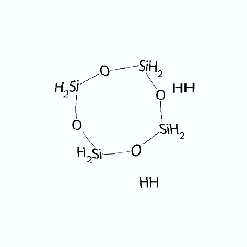 O1[SiH2]O[SiH2]O[SiH2]O[SiH2]1.[HH].[HH]